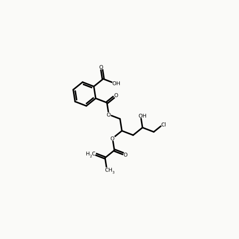 C=C(C)C(=O)OC(COC(=O)c1ccccc1C(=O)O)CC(O)CCl